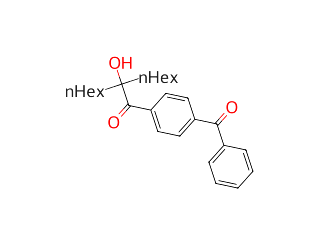 CCCCCCC(O)(CCCCCC)C(=O)c1ccc(C(=O)c2ccccc2)cc1